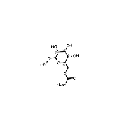 CCCCCCCCCC(=O)OC[C@H]1OC(OCCC)[C@H](O)[C@@H](O)[C@@H]1O